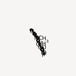 Cc1cc(N2CCC(N3CCCC3)CC2)nc2ccc(NC(=O)COc3ccc(OC(F)(F)F)cc3Cl)cc12